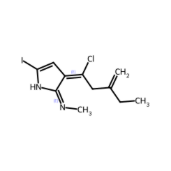 C=C(CC)C/C(Cl)=C1/C=C(I)N/C1=N/C